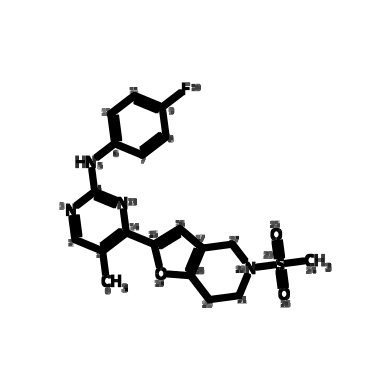 Cc1cnc(Nc2ccc(F)cc2)nc1-c1cc2c(o1)CCN(S(C)(=O)=O)C2